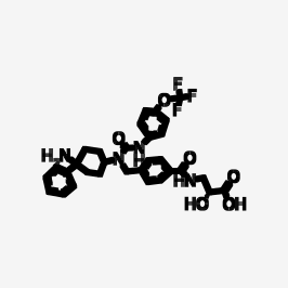 NC1(c2ccccc2)CCC(N(Cc2ccc(C(=O)NC[C@@H](O)C(=O)O)cc2)C(=O)Nc2ccc(OC(F)(F)F)cc2)CC1